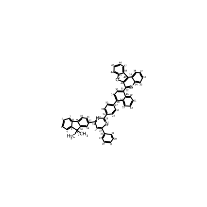 CC1(C)c2ccccc2-c2ccc(-c3cc(-c4ccccc4)nc(-c4ccc(-c5ccc(-c6nc7ccccc7c7c6oc6ccccc67)c6ccccc56)cc4)n3)cc21